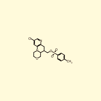 Cc1ccc(S(=O)(=O)OCC2Cc3ncc(Cl)cc3N3CCOCC23)cc1